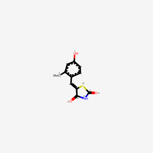 COc1cc(O)ccc1/C=C1\SC(=O)NC1=O